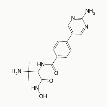 CC(C)(N)C(NC(=O)c1ccc(-c2cnc(N)nc2)cc1)C(=O)NO